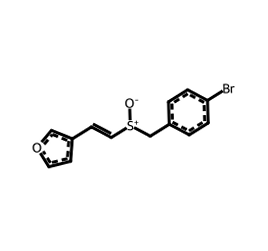 [O-][S+](/C=C/c1ccoc1)Cc1ccc(Br)cc1